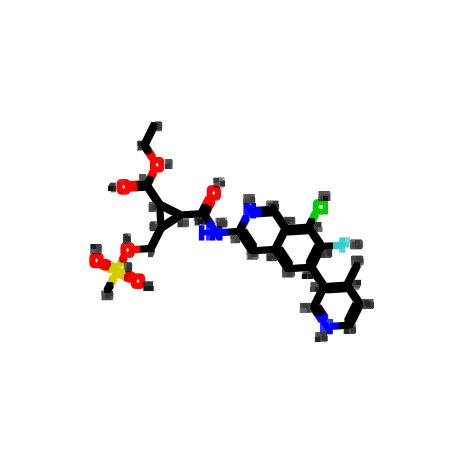 CCOC(=O)C1C(COS(C)(=O)=O)C1C(=O)Nc1cc2cc(-c3cnccc3C)c(F)c(Cl)c2cn1